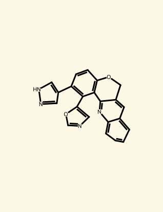 c1ccc2nc3c(cc2c1)COc1ccc(-c2cn[nH]c2)c(-c2cnco2)c1-3